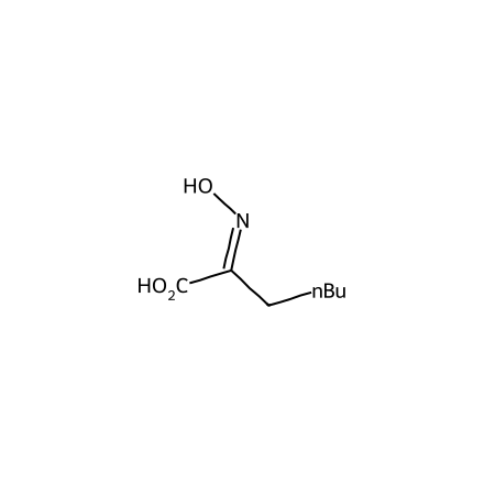 CCCCCC(=NO)C(=O)O